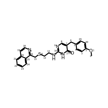 COc1ccc(Cc2cnc(NCCSCc3nccc4ccccc34)[nH]c2=O)cc1